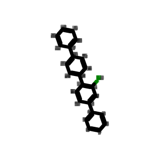 Fc1cc(-c2ccccc2)ccc1-c1ccc(-c2ccccc2)cc1